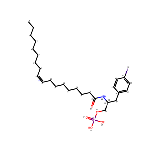 CCCCCCCC/C=C\CCCCCCCC(=O)N[C@H](COP(=O)(O)O)Cc1ccc(I)cc1